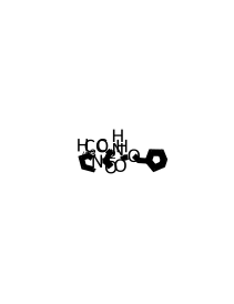 CC(NC(=O)OCc1ccccc1)C(=O)N1CCC[C@H]1C(=O)O